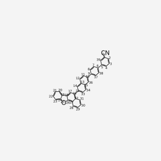 N#Cc1cccc(-c2ccc(-c3ccc4cc(-c5cc6c7ccccc7oc6c6ccccc56)ccc4c3)cc2)c1